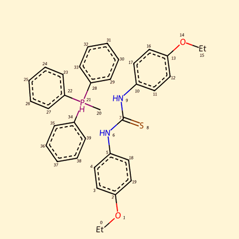 CCOc1ccc(NC(=S)Nc2ccc(OCC)cc2)cc1.C[PH](c1ccccc1)(c1ccccc1)c1ccccc1